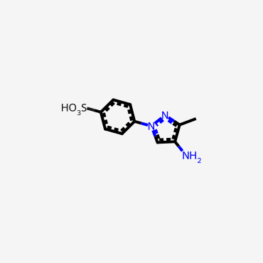 Cc1nn(-c2ccc(S(=O)(=O)O)cc2)cc1N